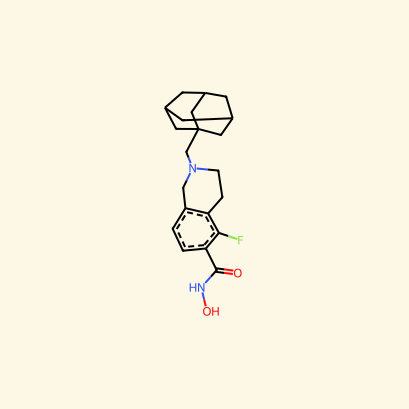 O=C(NO)c1ccc2c(c1F)CCN(CC13CC4CC(CC(C4)C1)C3)C2